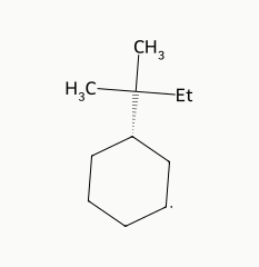 CCC(C)(C)[C@@H]1C[CH]CCC1